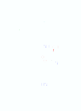 O=C(NCc1cc(F)cc(Cl)c1)[C@]1(O)CCN(c2ccc3cc[nH]c3c2)C1=O